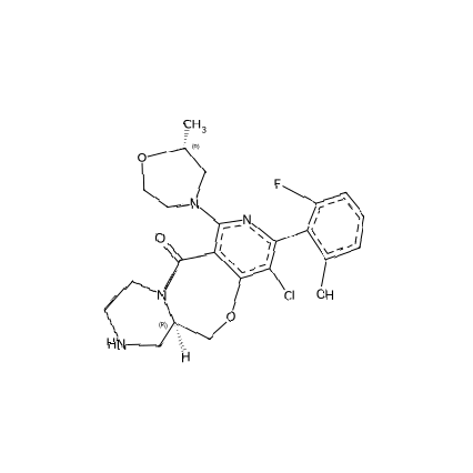 C[C@@H]1CN(c2nc(-c3c(O)cccc3F)c(Cl)c3c2C(=O)N2CCNC[C@@H]2CO3)CCO1